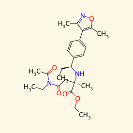 CCOC(=O)[C@@](C)(CC(=O)N(CC)C(C)=O)N[C@@H](CC)c1ccc(-c2c(C)noc2C)cc1